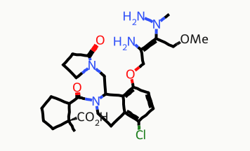 COC/C(=C(/N)COc1ccc(Cl)c2c1C(CN1CCCC1=O)N(C(=O)C1CCCC[C@]1(C)C(=O)O)CC2)N(C)N